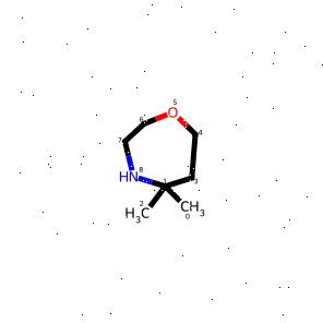 CC1(C)CCOCCN1